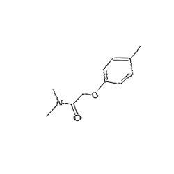 Cc1ccc(OCC(=O)N(C)C)cc1